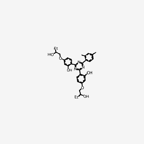 CCC(O)COc1ccc(-c2nc(-c3ccc(C)cc3C)nc(-c3ccc(OCC(O)CC)cc3O)n2)c(O)c1